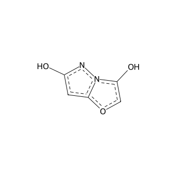 Oc1cc2occ(O)n2n1